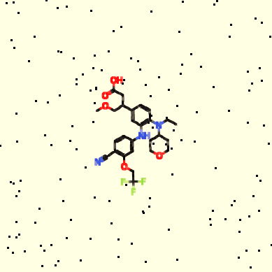 CCN(c1ccc(C(COC)CC(=O)O)cc1Nc1ccc(C#N)c(OCC(F)(F)F)c1)C1CCOCC1